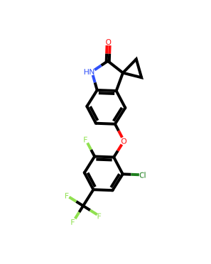 O=C1Nc2ccc(Oc3c(F)cc(C(F)(F)F)cc3Cl)cc2C12CC2